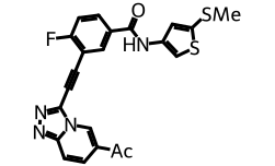 CSc1cc(NC(=O)c2ccc(F)c(C#Cc3nnc4ccc(C(C)=O)cn34)c2)cs1